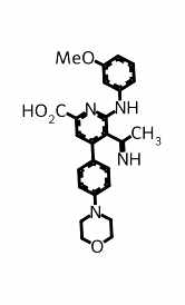 COc1cccc(Nc2nc(C(=O)O)cc(-c3ccc(N4CCOCC4)cc3)c2C(C)=N)c1